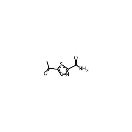 CC(=O)c1cnc(C(N)=O)s1